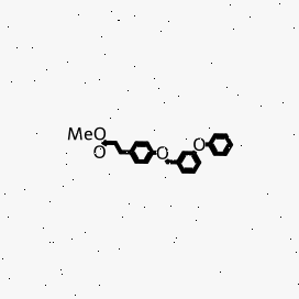 COC(=O)CCc1ccc(OCc2cccc(Oc3ccccc3)c2)cc1